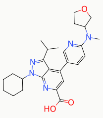 CC(C)c1nn(C2CCCCC2)c2nc(C(=O)O)cc(-c3ccc(N(C)C4CCOC4)nc3)c12